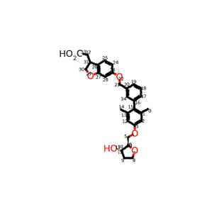 Cc1cc(OC[C@H]2OCC[C@@H]2O)cc(C)c1-c1cccc(COc2ccc3c(c2)OCC3CC(=O)O)c1